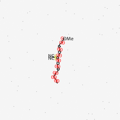 C=CC(=O)OCCOC(=O)CCC(=O)OCCc1ccc(OC(=O)C2CCC(C(=O)Oc3ccc(OC(=O)C4CCC(C(=O)Oc5ccc(CCOC(=O)CCC(=O)OC)cc5)CC4)c4c3SC(=C(C#N)C#N)S4)CC2)cc1